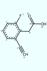 C#Cc1cccc(F)c1CC(=O)O